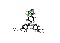 CSc1ccc(N(c2ccc(C(Cl)(Cl)Cl)cc2)c2ccc([Si](Cl)(Cl)Cl)cc2)cc1